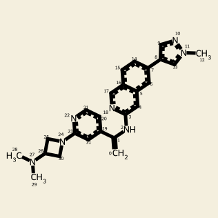 C=C(Nc1cc2cc(-c3cnn(C)c3)ccc2cn1)c1ccnc(N2CC(N(C)C)C2)c1